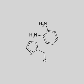 Nc1ccccc1N.O=Cc1cccs1